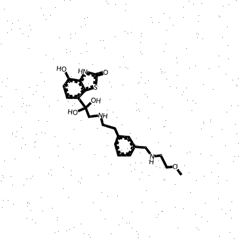 COCCNCc1cccc(CCNCC(O)(O)c2ccc(O)c3[nH]c(=O)sc23)c1